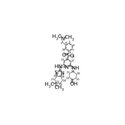 CN(C)Cc1cccc(S(=O)(=O)c2cc(Nc3nc4c(s3)CC(C)(C)CC4)nc(N[C@H]3CC[C@H](O)CC3)c2)c1